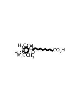 CN1CC(C)(C)C(OC(=O)CCCCCCCCC(=O)O)CC1(C)C